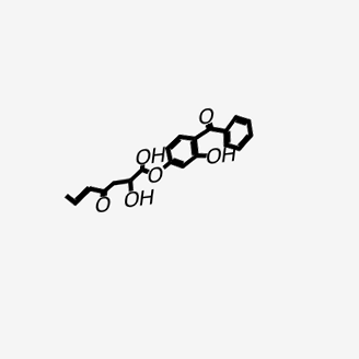 CC=CC(=O)CC(O)C(O)Oc1ccc(C(=O)c2ccccc2)c(O)c1